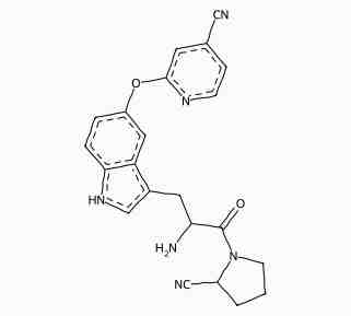 N#Cc1ccnc(Oc2ccc3[nH]cc(CC(N)C(=O)N4CCCC4C#N)c3c2)c1